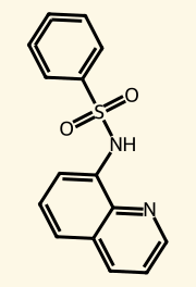 O=S(=O)(Nc1cccc2cccnc12)C1=CC=C=C=C1